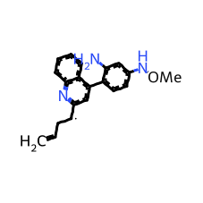 C=CC[CH]c1cc(-c2ccc(NOC)cc2N)c2ccccc2n1